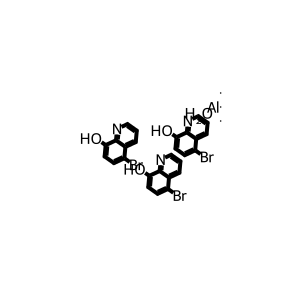 O.Oc1ccc(Br)c2cccnc12.Oc1ccc(Br)c2cccnc12.Oc1ccc(Br)c2cccnc12.[Al]